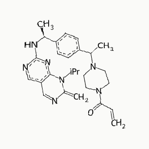 C=CC(=O)N1CCN(C(C)c2ccc([C@H](C)Nc3ncc4c(n3)N(C(C)C)C(=C)N=C4)cc2)CC1